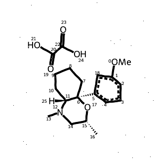 COc1cccc([C@@]23CCCC[C@H]2N(C)C[C@@H](C)O3)c1.O=C(O)C(=O)O